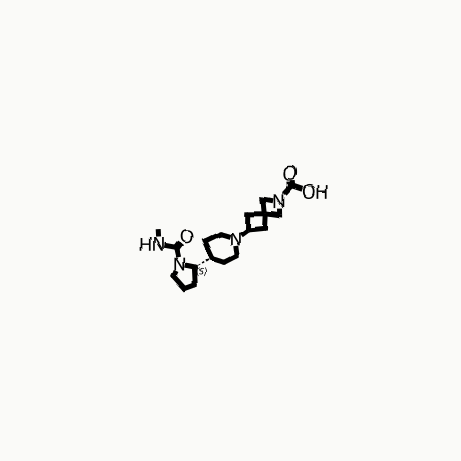 CNC(=O)N1CCC[C@H]1C1CCN(C2CC3(C2)CN(C(=O)O)C3)CC1